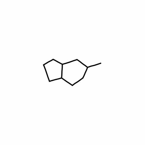 CC1CCC2CCCC2C1